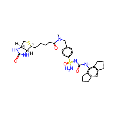 CN(Cc1ccc(S(N)(=O)=NC(=O)Nc2c3c(cc4c2CCC4)CCC3)cc1)C(=O)CCCC[C@@H]1SC[C@@H]2NC(=O)N[C@@H]21